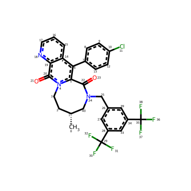 C[C@@H]1CCn2c(c(-c3ccc(Cl)cc3)c3cccnc3c2=O)C(=O)N(Cc2cc(C(F)(F)F)cc(C(F)(F)F)c2)C1